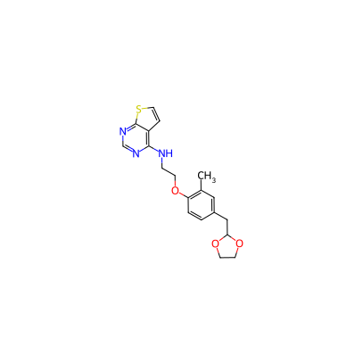 Cc1cc(CC2OCCO2)ccc1OCCNc1ncnc2sccc12